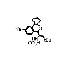 CC(C)(C)CC(NC(=O)O)C(=O)c1ccc(C(C)(C)C)cc1C1OCCO1